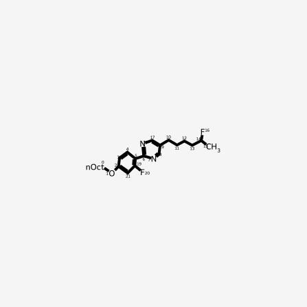 CCCCCCCCOc1ccc(-c2ncc(CCCCC(C)F)cn2)c(F)c1